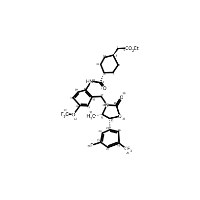 CCOC(=O)C[C@H]1CC[C@H](C(=O)Nc2ccc(OC(F)(F)F)cc2CN2C(=O)O[C@H](c3cc(F)cc(C(F)(F)F)c3)[C@@H]2C)CC1